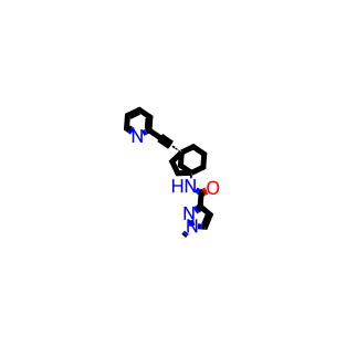 Cn1ccc(C(=O)N[C@]23CCC[C@](C#Cc4ccccn4)(CC2)C3)n1